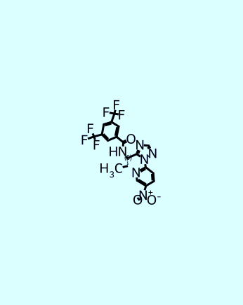 CC[C@H](NC(=O)c1cc(C(F)(F)F)cc(C(F)(F)F)c1)c1ncnn1-c1ccc([N+](=O)[O-])cn1